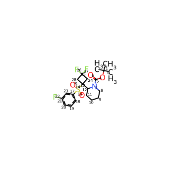 CC(C)(C)OC(=O)N1CCCCC1C1(S(=O)(=O)c2cccc(F)c2)CC(F)(F)C1